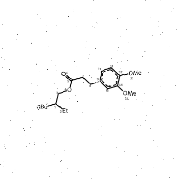 CCCCC(CC)COC(=O)CCc1ccc(OC)c(OC)c1